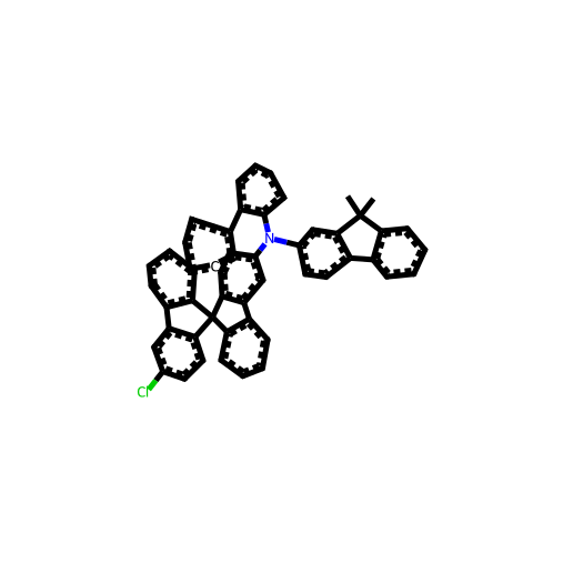 CC1(C)c2ccccc2-c2ccc(N(c3ccc4c(c3)-c3ccccc3C43c4ccccc4-c4cc(Cl)ccc43)c3ccccc3-c3ccccc3)cc21